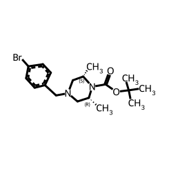 C[C@@H]1CN(Cc2ccc(Br)cc2)C[C@H](C)N1C(=O)OC(C)(C)C